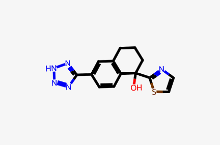 OC1(c2nccs2)CCCc2cc(-c3nn[nH]n3)ccc21